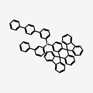 c1ccc(-c2ccc(-c3cccc(N(c4cccc(-c5ccccc5)c4)c4ccc5c(c4)C4(c6ccccc6-c6ccccc64)c4ccccc4C54c5ccccc5-c5ccccc54)c3)cc2)cc1